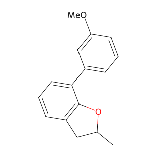 COc1cccc(-c2cccc3c2OC(C)C3)c1